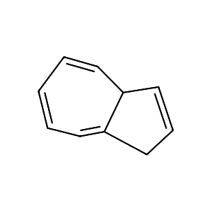 C1=CC=C2CC=CC2C=C1